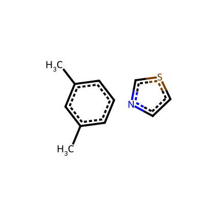 Cc1cccc(C)c1.c1cscn1